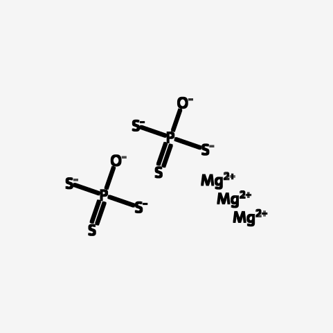 [Mg+2].[Mg+2].[Mg+2].[O-]P(=S)([S-])[S-].[O-]P(=S)([S-])[S-]